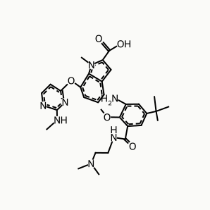 CNc1nccc(Oc2cccc3cc(C(=O)O)n(C)c23)n1.COc1c(N)cc(C(C)(C)C)cc1C(=O)NCCN(C)C